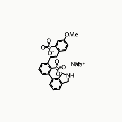 COc1ccc(C=Cc2cccc(-c3cccc4c3CNC4)c2S(=O)(=O)[O-])c(S(=O)(=O)[O-])c1.[Na+].[Na+]